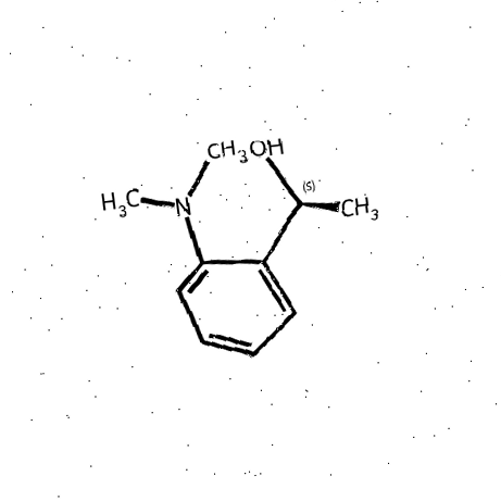 C[C@H](O)c1ccccc1N(C)C